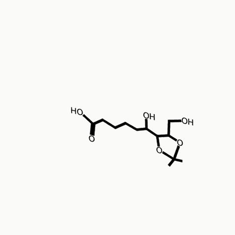 CC1(C)OC(CO)C(C(O)CCCCC(=O)O)O1